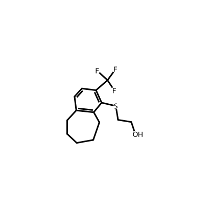 OCCSc1c(C(F)(F)F)ccc2c1CCCCC2